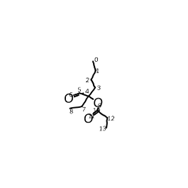 CCCCC([C]=O)(CC)OC(=O)CC